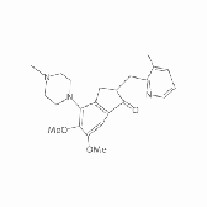 COc1cc2c(c(N3CCN(C)CC3)c1OC)CC(Cc1ncccc1C)C2=O